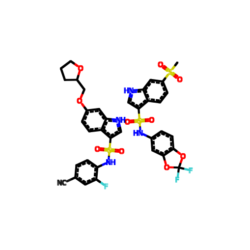 CS(=O)(=O)c1ccc2c(S(=O)(=O)Nc3ccc4c(c3)OC(F)(F)O4)c[nH]c2c1.N#Cc1ccc(NS(=O)(=O)c2c[nH]c3cc(OCC4CCCO4)ccc23)c(F)c1